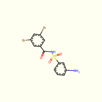 Nc1cccc(S(=O)(=O)NC(=O)c2cc(Br)cc(Br)c2)c1